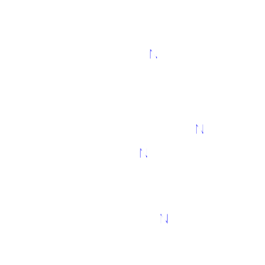 c1cncc(-c2ccccc2-n2cnc3cccnc32)c1